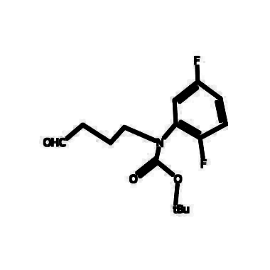 CC(C)(C)OC(=O)N(CCCC=O)c1cc(F)ccc1F